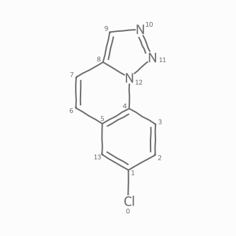 Clc1ccc2c(ccc3cnnn32)c1